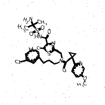 COc1ccc(C2(C(=O)N(CCCc3cccc(Cl)c3)Cc3nc(C(=O)NS(=O)(=O)C(C)(C)N)c(C)s3)CC2)nc1